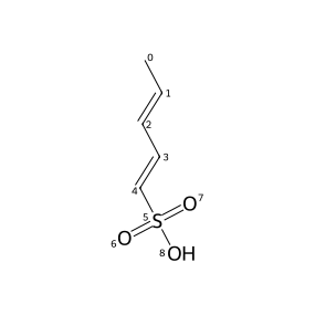 CC=CC=CS(=O)(=O)O